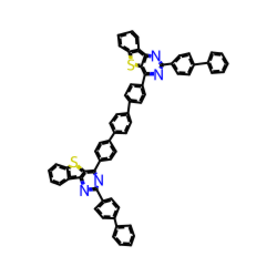 c1ccc(-c2ccc(-c3nc(-c4ccc(-c5ccc(-c6ccc(-c7nc(-c8ccc(-c9ccccc9)cc8)nc8c7sc7ccccc78)cc6)cc5)cc4)c4sc5ccccc5c4n3)cc2)cc1